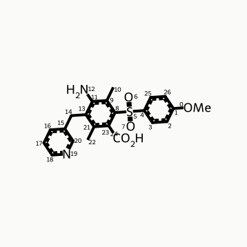 COc1ccc(S(=O)(=O)c2c(C)c(N)c(Cc3cccnc3)c(C)c2C(=O)O)cc1